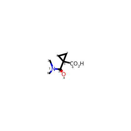 CN(C)C(=O)C1(C(=O)O)CC1